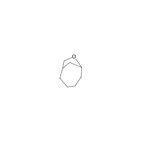 C1CCC2CC(C1)CO2